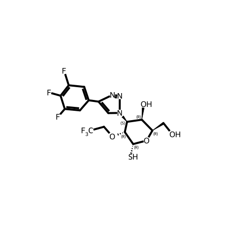 OC[C@H]1O[C@H](S)[C@H](OCC(F)(F)F)[C@@H](n2cc(-c3cc(F)c(F)c(F)c3)nn2)[C@H]1O